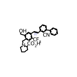 N#Cc1c(/C=C/c2cc(CO)c(CN3CCCCC3C(=O)O)cc2C(F)(F)F)cccc1-c1ccccc1